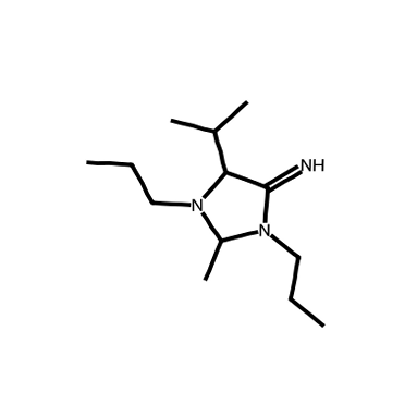 CCCN1C(=N)C(C(C)C)N(CCC)C1C